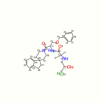 CC(O)CNC(C)(C)C(=O)NC(COCc1ccccc1)C(=O)N1CCC2(CCc3ccccc32)CC1.Cl